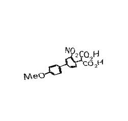 COc1ccc(-c2ccc(C(C(=O)O)C(=O)O)c([N+](=O)[O-])c2)cc1